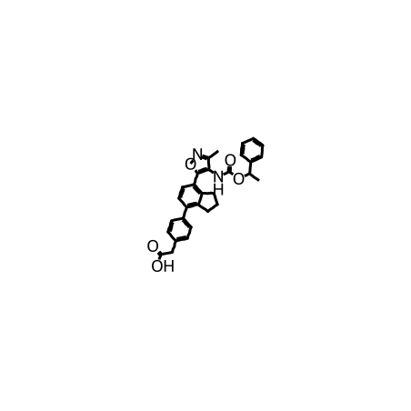 Cc1noc(-c2ccc(-c3ccc(CC(=O)O)cc3)c3c2CCC3)c1NC(=O)OC(C)c1ccccc1